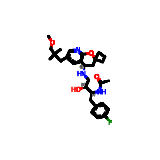 COCC(C)(C)Cc1cnc2c(c1)[C@@H](NC[C@H](O)[C@H](Cc1ccc(F)cc1)NC(C)=O)CC1(CCC1)O2